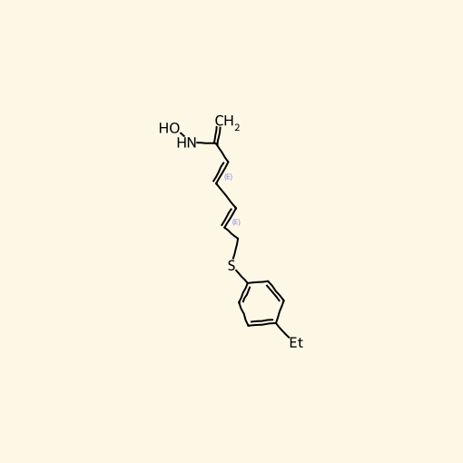 C=C(/C=C/C=C/CSc1ccc(CC)cc1)NO